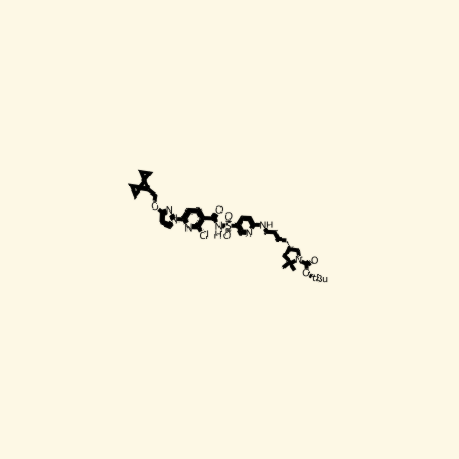 CC(C)(C)OC(=O)N1C[C@@H](CCCCNc2ccc(S(=O)(=O)NC(=O)c3ccc(-n4ccc(OCC5C6(CC6)C56CC6)n4)nc3Cl)cn2)CC1(C)C